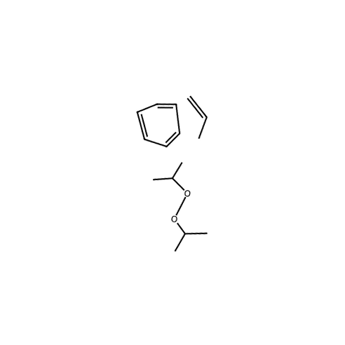 C=CC.CC(C)OOC(C)C.c1ccccc1